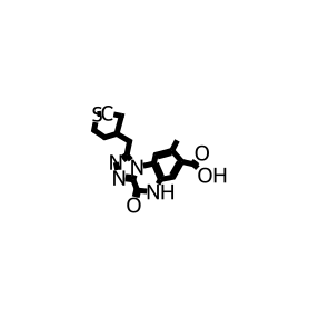 Cc1cc2c(cc1C(=O)O)[nH]c(=O)c1nnc(CC3CCSCC3)n12